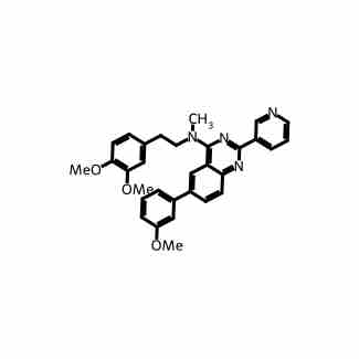 COc1cccc(-c2ccc3nc(-c4cccnc4)nc(N(C)CCc4ccc(OC)c(OC)c4)c3c2)c1